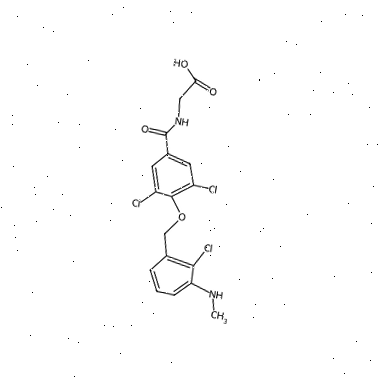 CNc1cccc(COc2c(Cl)cc(C(=O)NCC(=O)O)cc2Cl)c1Cl